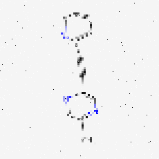 Cc1cnc(C#Cc2c[c]ccn2)cn1